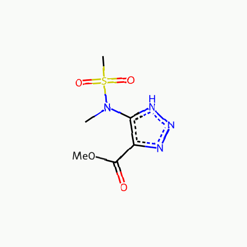 COC(=O)c1nn[nH]c1N(C)S(C)(=O)=O